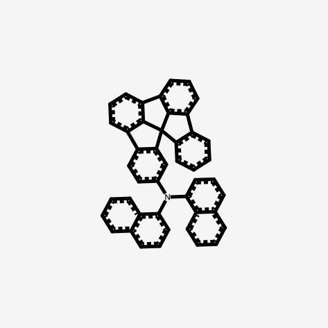 c1ccc2c(c1)-c1cccc3c1C21c2cc(N(c4cccc5ccccc45)c4cccc5ccccc45)ccc2-c2cccc-3c21